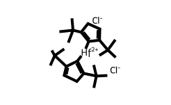 CC(C)(C)C1=CCC(C(C)(C)C)=[C]1[Hf+2][C]1=C(C(C)(C)C)CC=C1C(C)(C)C.[Cl-].[Cl-]